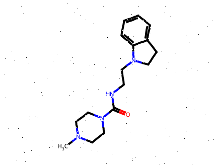 CN1CCN(C(=O)NCCN2CCc3ccccc32)CC1